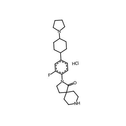 Cl.O=C1N(c2ccc(C3CCC(N4CCCC4)CC3)cc2F)CCC12CCNCC2